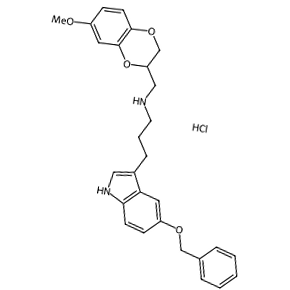 COc1ccc2c(c1)OC(CNCCCc1c[nH]c3ccc(OCc4ccccc4)cc13)CO2.Cl